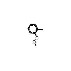 COOc1ccccc1C